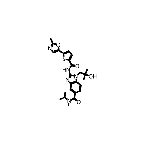 Cc1ncc(-c2ccc(C(=O)Nc3nc4cc(C(=O)N(C)C(C)C)ccc4n3CC(C)(C)O)s2)o1